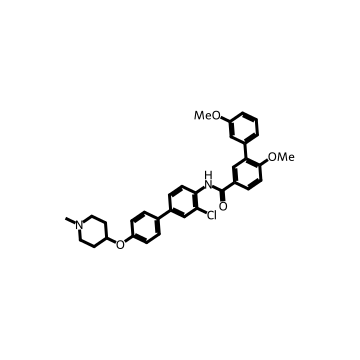 COc1cccc(-c2cc(C(=O)Nc3ccc(-c4ccc(OC5CCN(C)CC5)cc4)cc3Cl)ccc2OC)c1